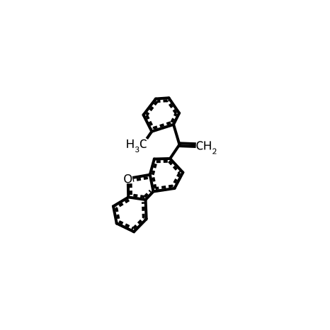 C=C(c1ccc2c(c1)oc1ccccc12)c1ccccc1C